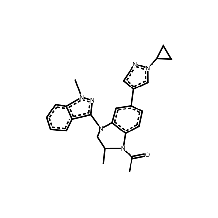 CC(=O)N1c2ccc(-c3cnn(C4CC4)c3)cc2N(c2nn(C)c3ccccc23)CC1C